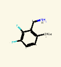 COc1ccc(F)c(F)c1CN